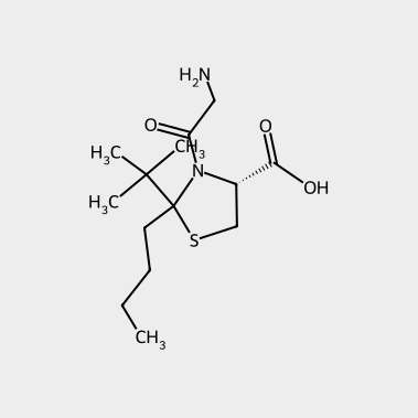 CCCCC1(C(C)(C)C)SC[C@@H](C(=O)O)N1C(=O)CN